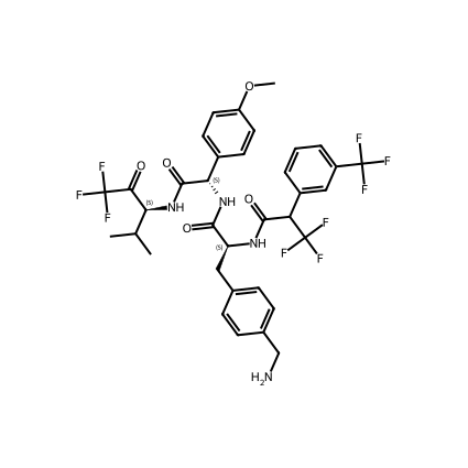 COc1ccc([C@H](NC(=O)[C@H](Cc2ccc(CN)cc2)NC(=O)C(c2cccc(C(F)(F)F)c2)C(F)(F)F)C(=O)N[C@H](C(=O)C(F)(F)F)C(C)C)cc1